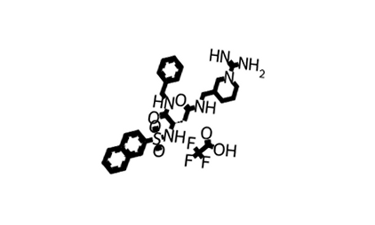 N=C(N)N1CCCC(CNC(=O)C[C@H](NS(=O)(=O)c2ccc3ccccc3c2)C(=O)NCc2ccccc2)C1.O=C(O)C(F)(F)F